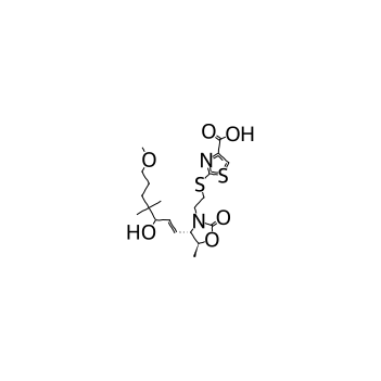 COCCCC(C)(C)C(O)/C=C/[C@H]1[C@H](C)OC(=O)N1CCSc1nc(C(=O)O)cs1